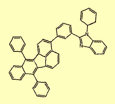 C1=CCC(n2c(-c3cccc(-c4ccc5c6c(cccc46)-c4c-5c(-c5ccccc5)c5ccccc5c4-c4ccccc4)c3)nc3ccccc32)C=C1